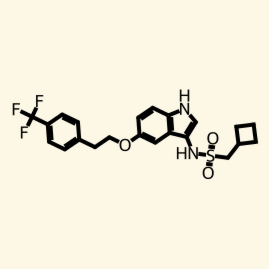 O=S(=O)(CC1CCC1)Nc1c[nH]c2ccc(OCCc3ccc(C(F)(F)F)cc3)cc12